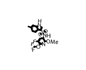 COc1nc(OC(F)F)c(F)cc1NS(=O)(=O)c1c[nH]c2cc(C)ccc12